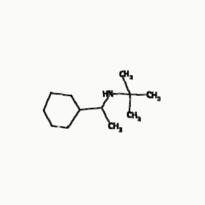 CC(NC(C)(C)C)C1CCCCC1